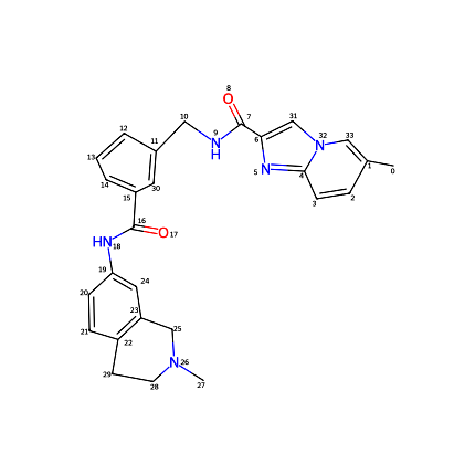 Cc1ccc2nc(C(=O)NCc3cccc(C(=O)Nc4ccc5c(c4)CN(C)CC5)c3)cn2c1